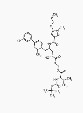 C=CCOc1cc(C(=O)N[C@H](CC2=CC=C(c3cccc(Cl)c3)CC2C)C[C@@H](O)C(=O)OCOC(=O)[C@@H](NC(=O)OC(C)(C)C)C(C)C)nn1C